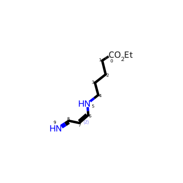 CCOC(=O)CCCCN/C=C\C=N